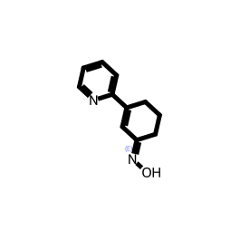 O/N=C1/C=C(c2ccccn2)CCC1